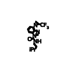 CC(C)CCNC(=O)n1cnc2c(N3CC3C(F)(F)F)cccc21